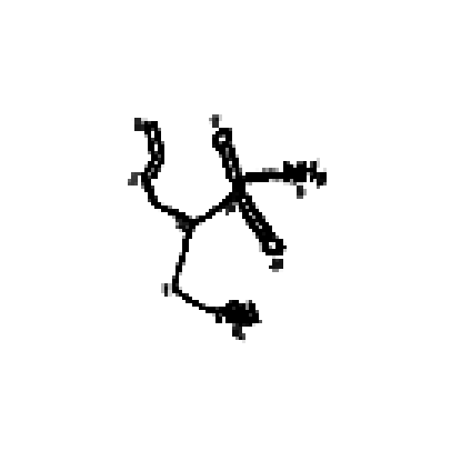 C=CC(CCCCC)S(N)(=O)=O